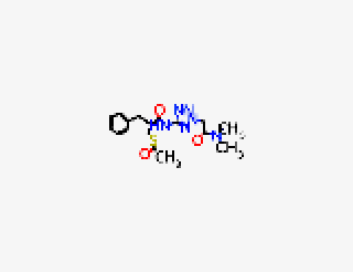 CC(=O)SCC(Cc1ccccc1)C(=O)Nc1nnn(CC(=O)N(C)C)n1